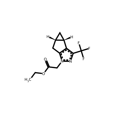 CCOC(=O)Cn1nc(C(F)(F)F)c2c1C[C@@H]1C[C@H]21